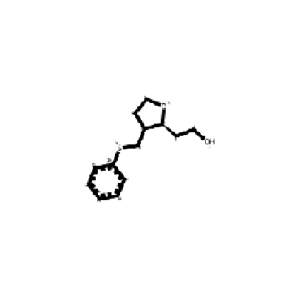 OCC[C@@H]1OCCC1CSc1ccccc1